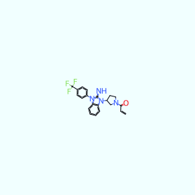 C=CC(=O)N1CCC(n2c(=N)n(-c3ccc(C(F)(F)F)cc3)c3ccccc32)C1